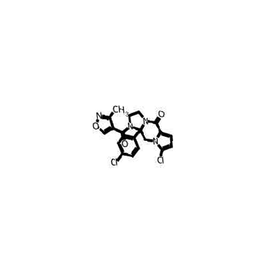 Cc1nocc1C(=O)N1CCN2C(=O)c3ccc(Cl)n3CC12c1ccc(Cl)cc1